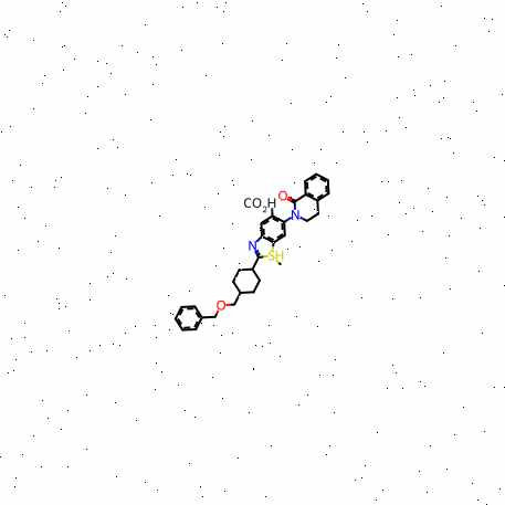 C[SH]1C(C2CCC(COCc3ccccc3)CC2)=Nc2cc(C(=O)O)c(N3CCc4ccccc4C3=O)cc21